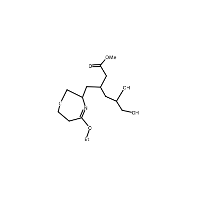 CCOC1=NC(CC(CC(=O)OC)CC(O)CO)CCCC1